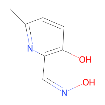 Cc1ccc(O)c(/C=N\O)n1